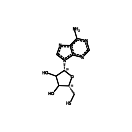 Nc1ncnc2c1ncn2[C@@H]1O[C@H](CS)C(O)C1O